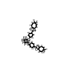 CC1(F)C=Cc2nc(-c3ccc(OC4(F)C(F)(F)C(F)(F)C4(F)Oc4ccc(-c5nc6c(o5)C=CC(C)(F)C=C6)cc4)cc3)oc2C=C1